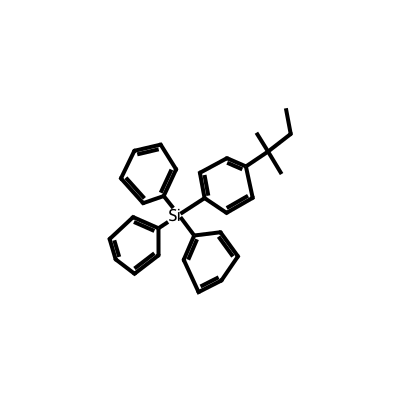 CCC(C)(C)c1ccc([Si](c2ccccc2)(c2ccccc2)c2ccccc2)cc1